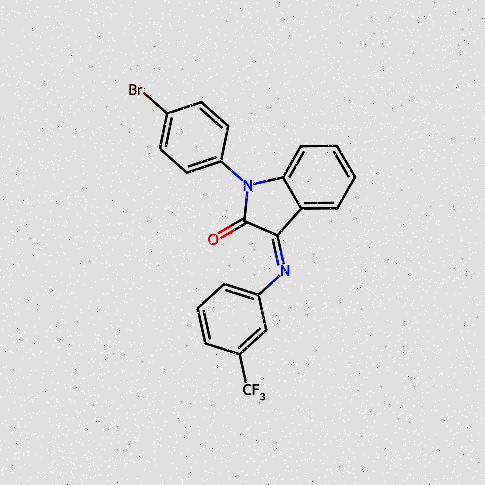 O=C1/C(=N\c2cccc(C(F)(F)F)c2)c2ccccc2N1c1ccc(Br)cc1